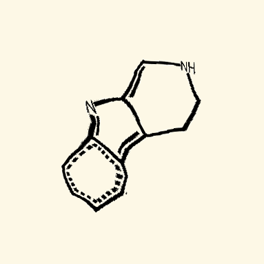 [c]1cccc2c1=C1CCNC=C1N=2